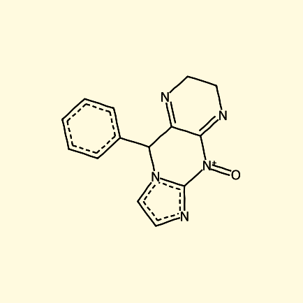 O=[N+]1C2=NCCN=C2C(c2ccccc2)n2ccnc21